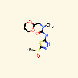 CCCC[S+]([O-])c1nnc(NC(=O)N(C)CC2OCCCO2)s1